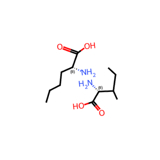 CCC(C)[C@@H](N)C(=O)O.CCCC[C@@H](N)C(=O)O